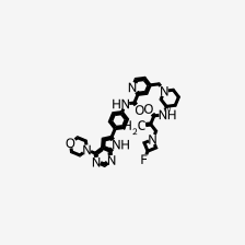 C=C(CN1CC(F)C1)C(=O)N[C@@H]1CCCN(Cc2ccnc(C(=O)Nc3ccc(-c4cc5c(N6CCOCC6)ncnc5[nH]4)cc3)c2)C1